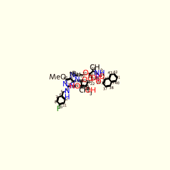 COc1nc(NCc2ccc(F)cc2)nc2c1ncn2[C@@H]1O[C@H](COP(=O)(NC(C)C(=O)OCC(C)(C)C)Oc2cccc3ccccc23)[C@@H](O)[C@@]1(C)O